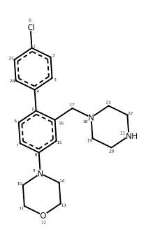 Clc1ccc(-c2ccc(N3CCOCC3)cc2CN2CCNCC2)cc1